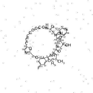 CC(C)C[C@H]1NC(=O)c2ccc(F)cc2OCc2ncc(o2)CCCCCCCCNC(=O)[C@H](Cc2cccnc2)N(C)C(=O)[C@H]2C[C@H](O)CN2C1=O